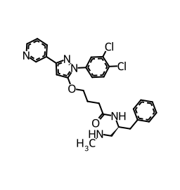 CNC[C@H](Cc1ccccc1)NC(=O)CCCOc1cc(-c2cccnc2)nn1-c1ccc(Cl)c(Cl)c1